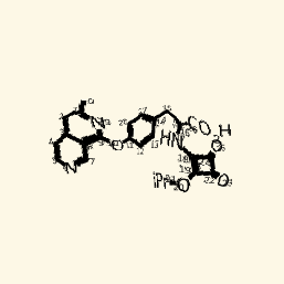 Cc1cc2ccncc2c(Oc2ccc(C[C@H](Nc3c(OC(C)C)c(=O)c3=O)C(=O)O)cc2)n1